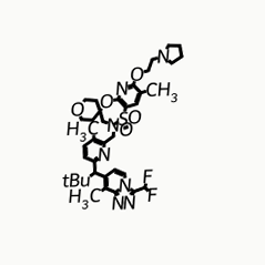 Cc1ccc(C(c2ccn3c(C(F)F)nnc3c2C)C(C)(C)C)nc1CN1CC2(CCOCC2)Oc2nc(OCCN3CCCC3)c(C)cc2S1(=O)=O